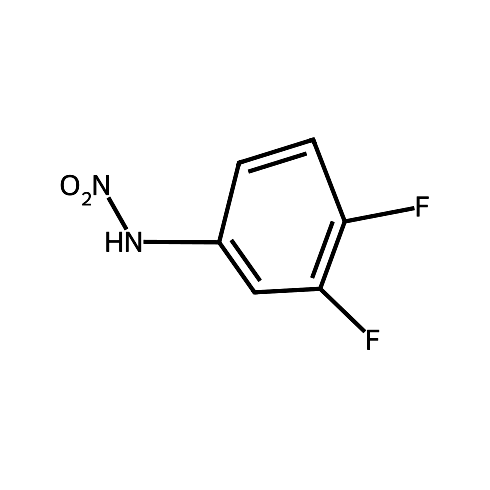 O=[N+]([O-])Nc1ccc(F)c(F)c1